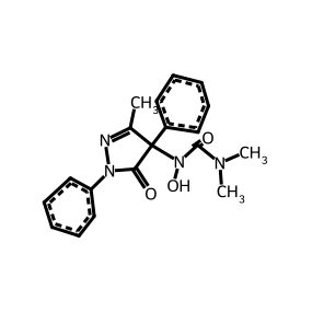 CC1=NN(c2ccccc2)C(=O)C1(c1ccccc1)N(O)C(=O)N(C)C